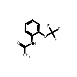 CC(=O)Nc1cc[c]cc1OC(F)(F)F